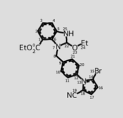 CCOC(=O)c1cccc2c1N(Cc1ccc(-n3c(Br)ccc3C#N)cc1)C(OCC)N2